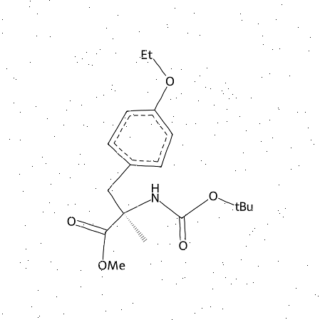 CCOc1ccc(C[C@@](C)(NC(=O)OC(C)(C)C)C(=O)OC)cc1